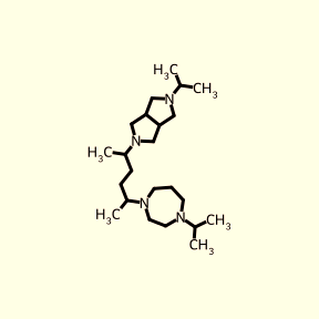 CC(C)N1CCCN(C(C)CCC(C)N2CC3CN(C(C)C)CC3C2)CC1